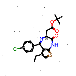 CCc1csc2c1C(c1ccc(Cl)cc1)=N[C@@H](CC(=O)OC(C)(C)C)C(=O)N2